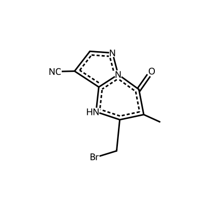 Cc1c(CBr)[nH]c2c(C#N)cnn2c1=O